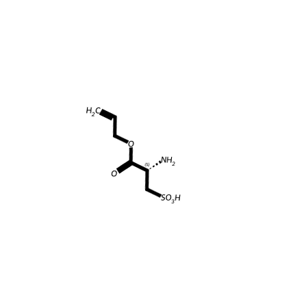 C=CCOC(=O)[C@H](N)CS(=O)(=O)O